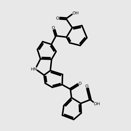 O=C(O)c1ccccc1C(=O)c1ccc2[nH]c3ccc(C(=O)c4ccccc4C(=O)O)cc3c2c1